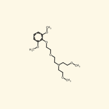 COCCN(CCOC)CCOCCOc1c(OC)cccc1OC